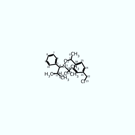 CC(ON(C(c1ccccc1)C(C)C)C(C)(C)C)c1ccc(CCl)cc1